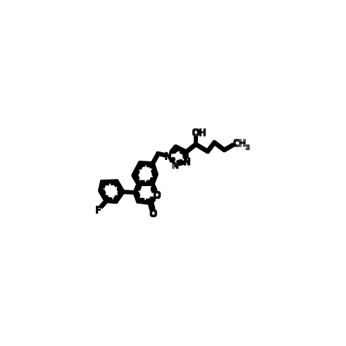 CCCCC(O)c1cn(Cc2ccc3c(-c4cccc(F)c4)cc(=O)oc3c2)nn1